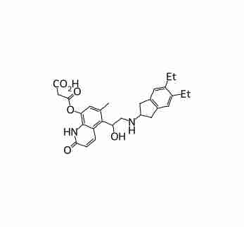 CCc1cc2c(cc1CC)CC(NCC(O)c1c(C)cc(OC(=O)CC(=O)O)c3[nH]c(=O)ccc13)C2